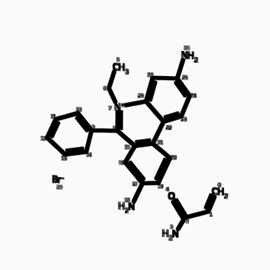 C=CC(N)=O.CC[n+]1c(-c2ccccc2)c2cc(N)ccc2c2ccc(N)cc21.[Br-]